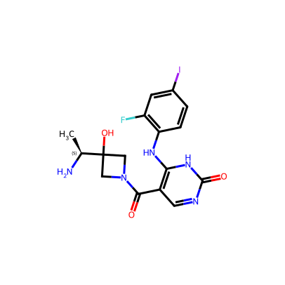 C[C@H](N)C1(O)CN(C(=O)c2cnc(=O)[nH]c2Nc2ccc(I)cc2F)C1